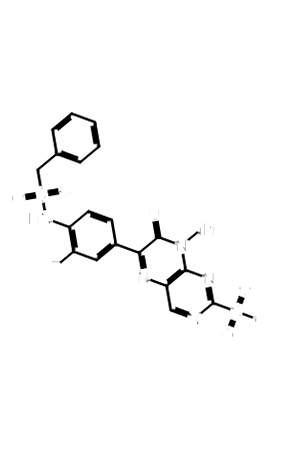 CC(C)n1c(=O)c(-c2ccc(NS(=O)(=O)Cc3ccccc3)c(F)c2)nc2cnc(S(C)(=O)=O)nc21